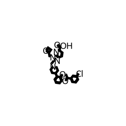 O=C(O)c1ccc2nc(CN3CCC(c4cccc5c4OCC(c4cccc(Cl)c4)O5)CC3)n(CC3CCO3)c2n1